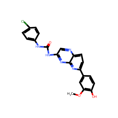 COc1cc(-c2ccc3ncc(NC(=O)Nc4ccc(Cl)cc4)nc3n2)ccc1O